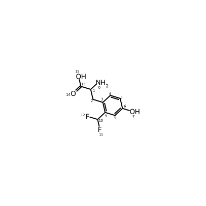 NC(Cc1ccc(O)cc1C(F)F)C(=O)O